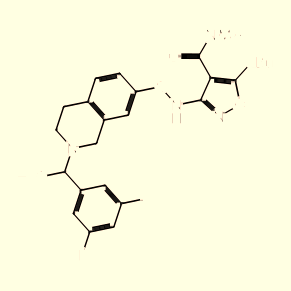 CNC(=O)c1c(NSc2ccc3c(c2)CN(C(C)c2cc(F)cc(F)c2)CC3)noc1C(C)(C)C